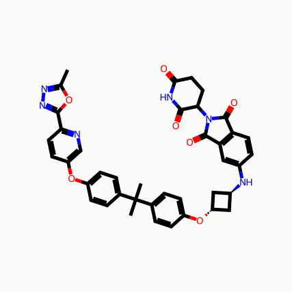 Cc1nnc(-c2ccc(Oc3ccc(C(C)(C)c4ccc(O[C@H]5C[C@H](Nc6ccc7c(c6)C(=O)N(C6CCC(=O)NC6=O)C7=O)C5)cc4)cc3)cn2)o1